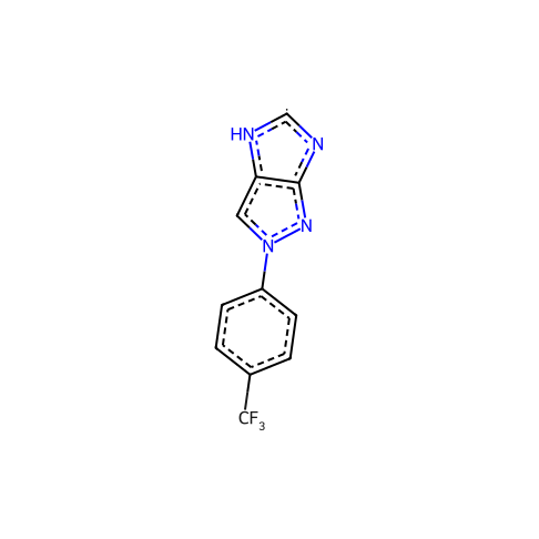 FC(F)(F)c1ccc(-n2cc3[nH][c]nc3n2)cc1